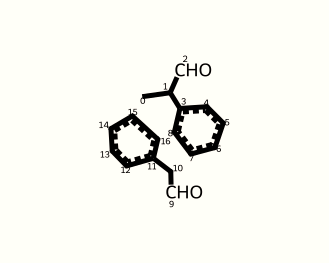 CC(C=O)c1ccccc1.O=CCc1ccccc1